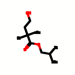 CCCCC(CC)COC(=O)C(CC)(CCO)CCCC